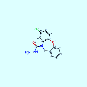 NNC(=O)N1Cc2ccccc2Oc2ccc(Cl)cc21